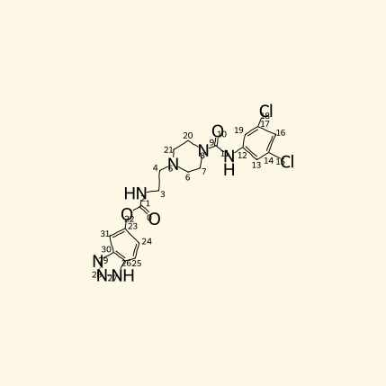 O=C(NCCN1CCN(C(=O)Nc2cc(Cl)cc(Cl)c2)CC1)Oc1ccc2[nH]nnc2c1